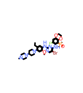 CCc1cc(Nc2ncc(Br)c(Nc3c(F)cc4c(c3P(C)(C)=O)OCCO4)n2)c(OC)cc1N1CCC(N2CCN(C)CC2)CC1